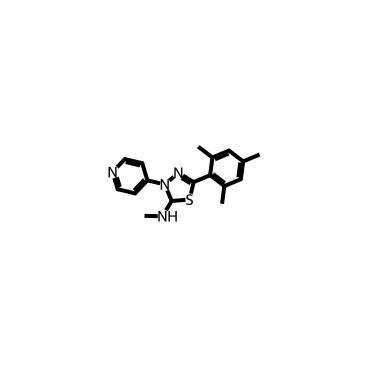 CNC1SC(c2c(C)cc(C)cc2C)=NN1c1ccncc1